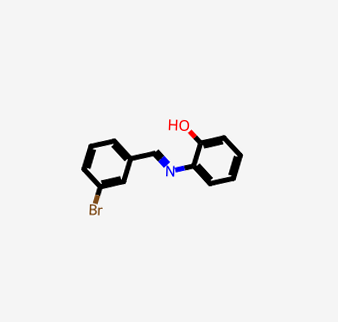 Oc1ccccc1/N=C/c1cccc(Br)c1